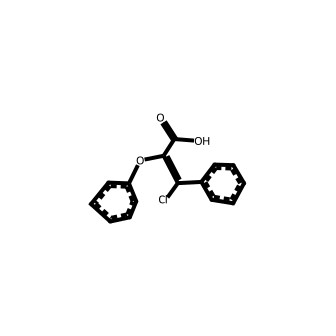 O=C(O)C(Oc1ccccc1)=C(Cl)c1ccccc1